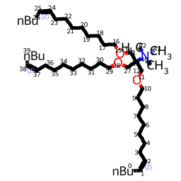 CCCC/C=C\CCCCCCCCOCC(COCCCCCCCC/C=C\CCCC)(COCCCCCCCC/C=C\CCCC)[N+](C)(C)C